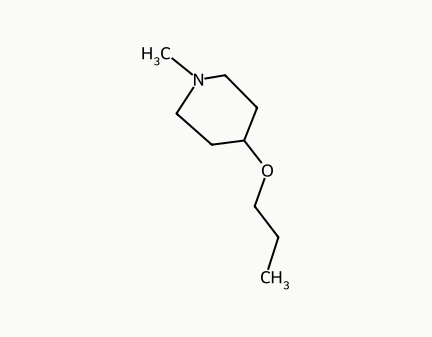 CCCOC1CCN(C)CC1